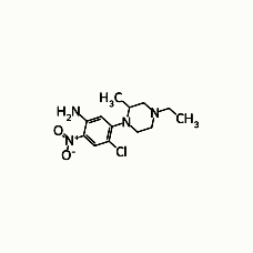 CCN1CCN(c2cc(N)c([N+](=O)[O-])cc2Cl)C(C)C1